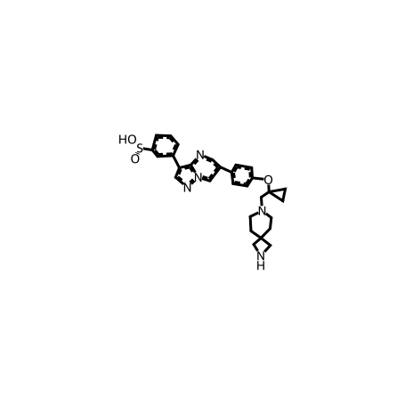 O=S(O)c1cccc(-c2cnn3cc(-c4ccc(OC5(CN6CCC7(CC6)CNC7)CC5)cc4)cnc23)c1